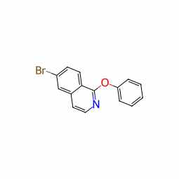 Brc1ccc2c(Oc3ccccc3)nccc2c1